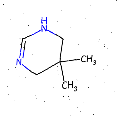 CC1(C)CN=[C]NC1